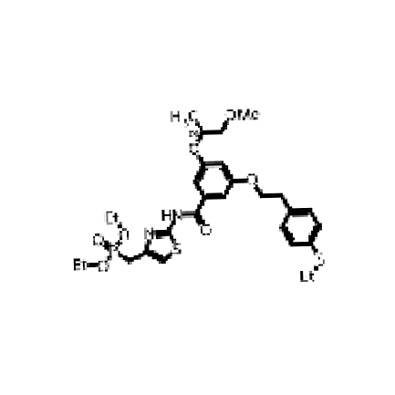 CCOP(=O)(Cc1csc(NC(=O)c2cc(OCCc3ccc(SCC)cc3)cc(O[C@@H](C)COC)c2)n1)OCC